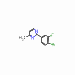 Cc1ccnc(-c2ccc(Br)c(F)c2)n1